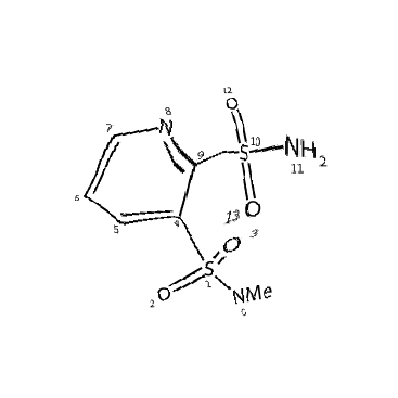 CNS(=O)(=O)c1cccnc1S(N)(=O)=O